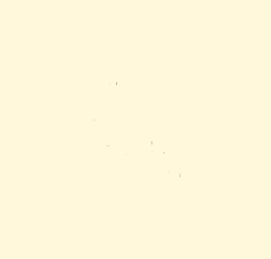 O=C1CCC(c2cccc(C3CCC(=O)OC3=O)c2)C(=O)O1